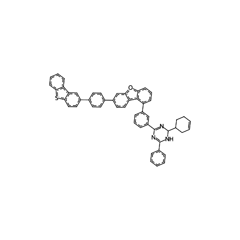 C1=CCC(C2N=C(c3cccc(-c4cccc5oc6cc(-c7ccc(-c8ccc9sc%10ccccc%10c9c8)cc7)ccc6c45)c3)N=C(c3ccccc3)N2)CC1